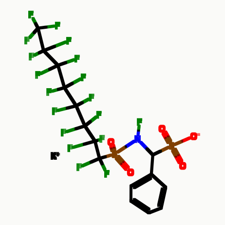 O=S(=O)([O-])C(c1ccccc1)N(F)S(=O)(=O)C(F)(F)C(F)(F)C(F)(F)C(F)(F)C(F)(F)C(F)(F)C(F)(F)C(F)(F)F.[K+]